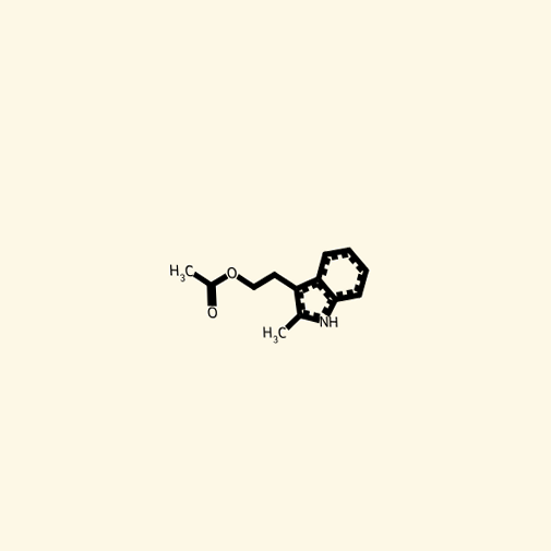 CC(=O)OCCc1c(C)[nH]c2ccccc12